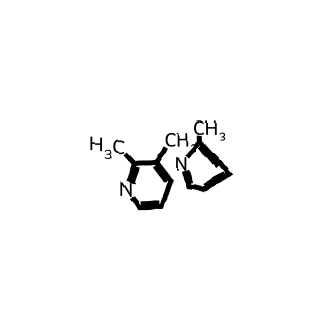 Cc1ccccn1.Cc1cccnc1C